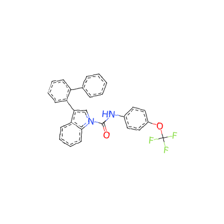 O=C(Nc1ccc(OC(F)(F)F)cc1)n1cc(-c2ccccc2-c2ccccc2)c2ccccc21